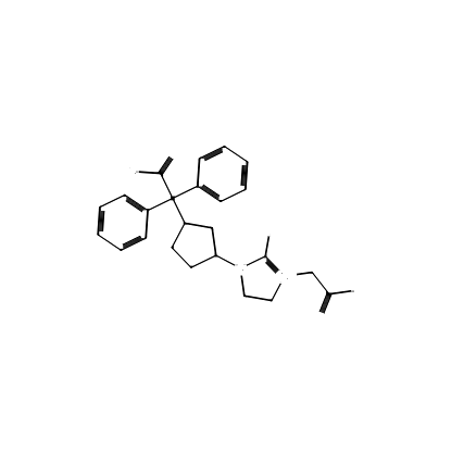 CCC(=O)C[N+]1=C(C)N(C2CCC(C(C(N)=O)(c3ccccc3)c3ccccc3)C2)CC1.[Br-]